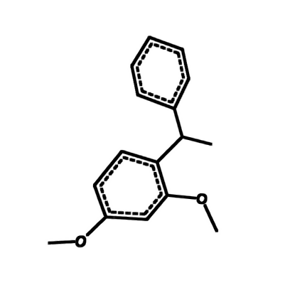 COc1ccc(C(C)c2ccccc2)c(OC)c1